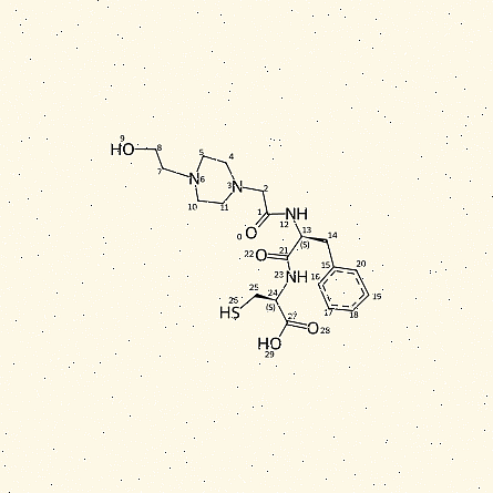 O=C(CN1CCN(CCO)CC1)N[C@@H](Cc1ccccc1)C(=O)N[C@H](CS)C(=O)O